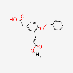 COC(=O)C=Cc1cc(CC(=O)O)ccc1OCc1ccccc1